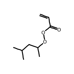 C=CC(=O)OOC(C)CC(C)C